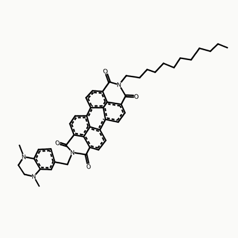 CCCCCCCCCCCCN1C(=O)c2ccc3c4ccc5c6c(ccc(c7ccc(c2c37)C1=O)c64)C(=O)N(Cc1ccc2c(c1)N(C)CCN2C)C5=O